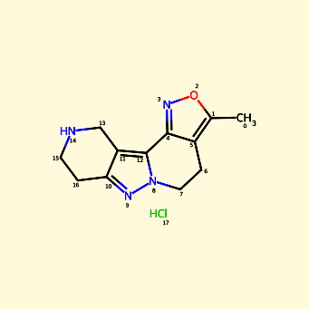 Cc1onc2c1CCn1nc3c(c1-2)CNCC3.Cl